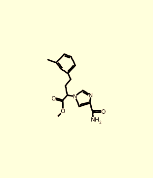 COC(=O)C(CCc1cccc(C)c1)n1cnc(C(N)=O)c1